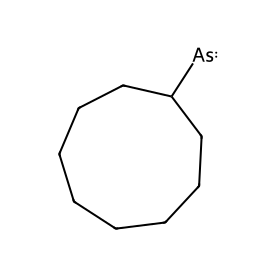 [As]C1CCCCCCCC1